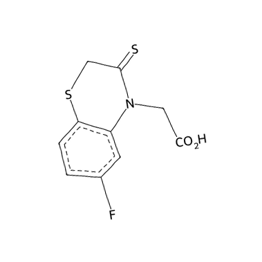 O=C(O)CN1C(=S)CSc2ccc(F)cc21